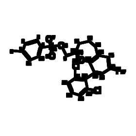 Cc1ccc(S(=O)(=O)OC[C@H]2CCCc3cc(F)cc(-c4c(Cl)cccc4Cl)c3O2)cc1